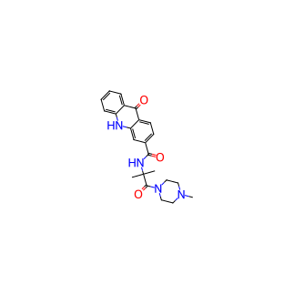 CN1CCN(C(=O)C(C)(C)NC(=O)c2ccc3c(=O)c4ccccc4[nH]c3c2)CC1